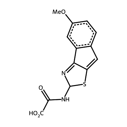 COc1ccc2c(c1)C1=NC(NC(=O)C(=O)O)SC1=C2